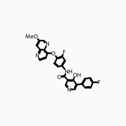 COc1cnc2c(Oc3ccc(NC(=O)c4cncc(-c5ccc(F)cc5)c4O)cc3F)ccnc2c1